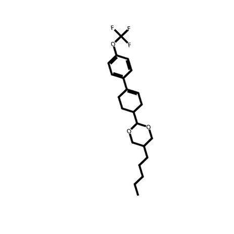 CCCCCC1COC(C2CC=C(c3ccc(OC(F)(F)F)cc3)CC2)OC1